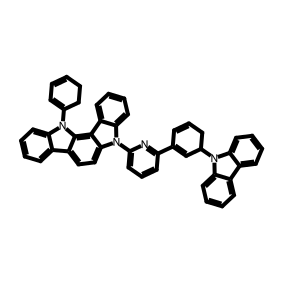 C1=CCCC(n2c3ccccc3c3ccc4c(c5ccccc5n4-c4cccc(C5=CC(n6c7ccccc7c7ccccc76)CC=C5)n4)c32)=C1